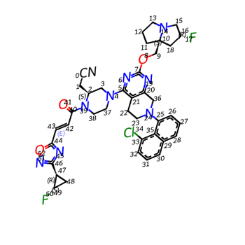 N#CC[C@H]1CN(c2nc(OC[C@@]34CCCN3C[C@H](F)C4)nc3c2CCN(c2cccc4cccc(Cl)c24)C3)CCN1C(=O)/C=C/c1nc([C@H]2C[C@@H]2F)no1